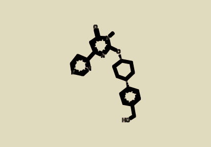 Cn1c(O[C@H]2CC[C@@H](c3ccc(CO)cc3)CC2)nc(-c2ccncn2)cc1=O